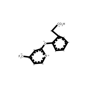 O=C(O)Cc1ccccc1Oc1cc(C(F)(F)F)ccn1